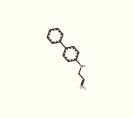 C=CCNc1ccc(-c2ccccc2)cc1